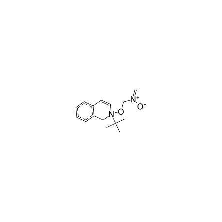 C=[N+]([O-])CO[N+]1(C(C)(C)C)C=Cc2ccccc2C1